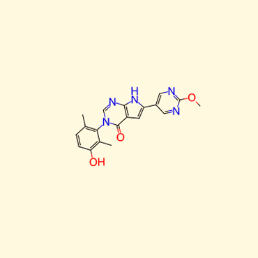 COc1ncc(-c2cc3c(=O)n(-c4c(C)ccc(O)c4C)cnc3[nH]2)cn1